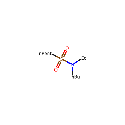 CCCCCS(=O)(=O)N(CC)CCCC